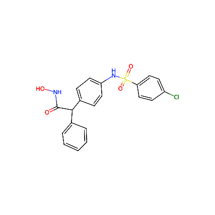 O=C(NO)C(c1ccccc1)c1ccc(NS(=O)(=O)c2ccc(Cl)cc2)cc1